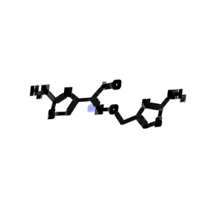 Nc1nc(CO/N=C(\[C]=O)c2csc(N)n2)cs1